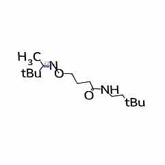 C/C(=N/OCCCC(=O)NCCC(C)(C)C)C(C)(C)C